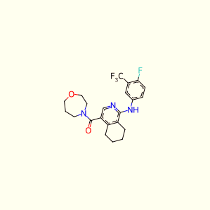 O=C(c1cnc(Nc2ccc(F)c(C(F)(F)F)c2)c2c1CCCC2)N1CCCOCC1